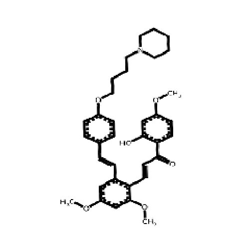 COc1ccc(C(=O)/C=C/c2c(/C=C/c3ccc(OCCCCN4CCCCC4)cc3)cc(OC)cc2OC)c(O)c1